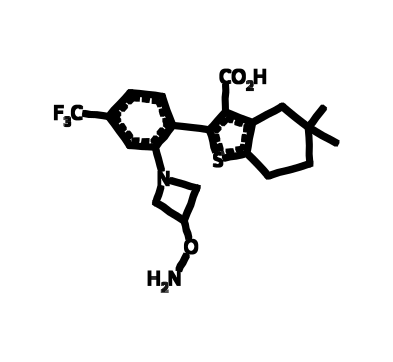 CC1(C)CCc2sc(-c3ccc(C(F)(F)F)cc3N3CC(ON)C3)c(C(=O)O)c2C1